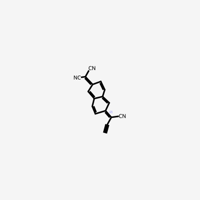 C#C/C(C#N)=c1\ccc2cc(=C(C#N)C#N)ccc2c1